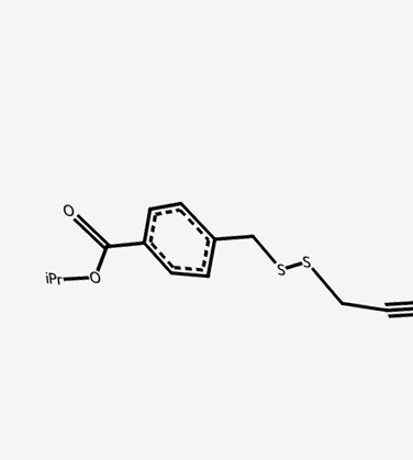 C#CCSSCc1ccc(C(=O)OC(C)C)cc1